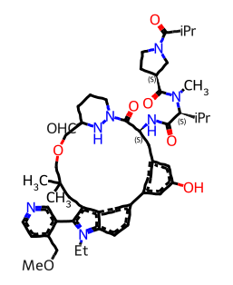 CCn1c(-c2cnccc2COC)c2c3cc(ccc31)-c1cc(O)cc(c1)C[C@H](NC(=O)[C@H](C(C)C)N(C)C(=O)[C@H]1CCN(C(=O)C(C)C)C1)C(=O)N1CCCC(C=O)(COCC(C)(C)C2)N1